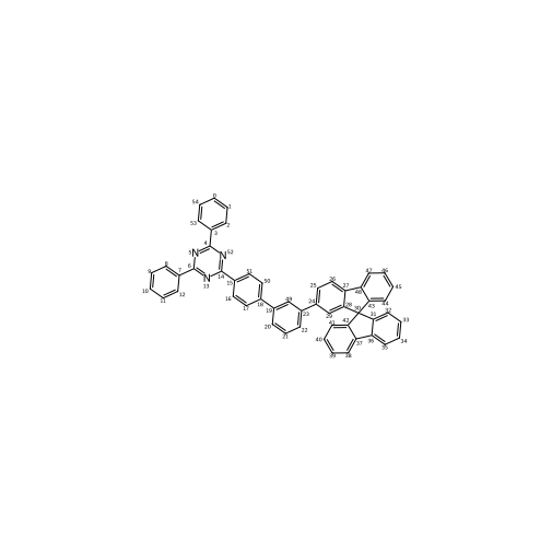 c1ccc(-c2nc(-c3ccccc3)nc(-c3ccc(-c4cccc(-c5ccc6c(c5)C5(c7ccccc7-c7ccccc75)c5ccccc5-6)c4)cc3)n2)cc1